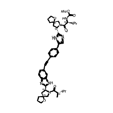 COC(=O)N[C@H](C(=O)N1C[C@]2(CCCO2)C[C@H]1c1ncc(-c2ccc(C#Cc3ccc4nc([C@@H]5C[C@@]6(CCCO6)CN5C(=O)[C@@H](C)C(C)C)[nH]c4c3)cc2)[nH]1)C(C)C